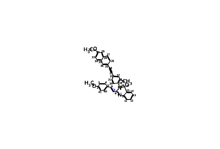 COc1ccc(/C=C/c2nc3ccccc3c(=O)n2-c2ccc(C#Cc3ccc4cc(OC)ccc4c3)cc2C)cc1